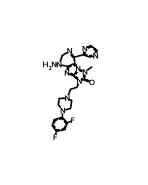 Cn1c(=O)n(CCN2CCN(c3ccc(F)cc3F)CC2)c2nc3c(n21)C(c1cnccn1)=NCN3N